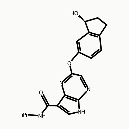 CC(C)NC(=O)c1c[nH]c2ncc(Oc3ccc4c(c3)[C@@H](O)CC4)nc12